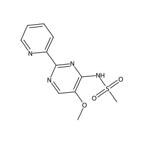 COc1cnc(-c2ccccn2)nc1NS(C)(=O)=O